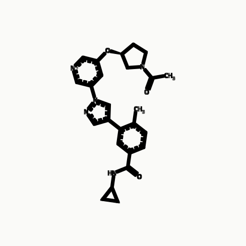 CC(=O)N1CC[C@H](Oc2cncc(-n3cc(-c4cc(C(=O)NC5CC5)ccc4C)cn3)c2)C1